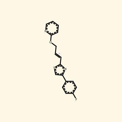 Fc1ccc(-c2csc(/C=C/COc3ccccn3)n2)cc1